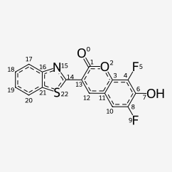 O=c1oc2c(F)c(O)c(F)cc2cc1-c1nc2ccccc2s1